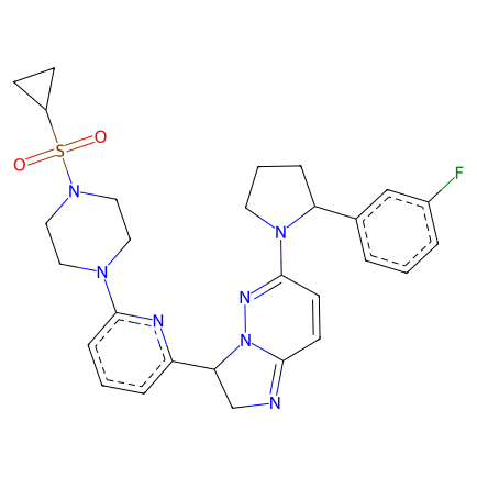 O=S(=O)(C1CC1)N1CCN(c2cccc(C3CN=C4C=CC(N5CCCC5c5cccc(F)c5)=NN43)n2)CC1